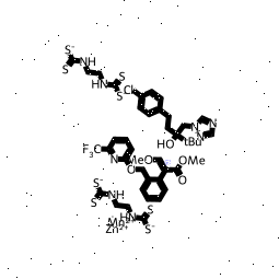 CC(C)(C)C(O)(CCc1ccc(Cl)cc1)Cn1cncn1.CO/C=C(/C(=O)OC)c1ccccc1COc1cccc(C(F)(F)F)n1.S=C([S-])NCCNC(=S)[S-].S=C([S-])NCCNC(=S)[S-].[Mn+2].[Zn+2]